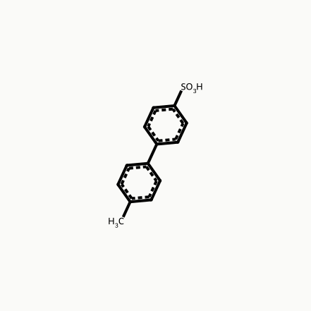 Cc1ccc(-c2ccc(S(=O)(=O)O)cc2)cc1